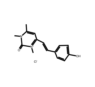 Cc1cc(C=Cc2ccc(O)cc2)[n+](C)c(=O)n1C.[Cl-]